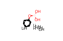 OB(O)Oc1ccccc1.[LiH].[LiH].[LiH].[LiH].[LiH]